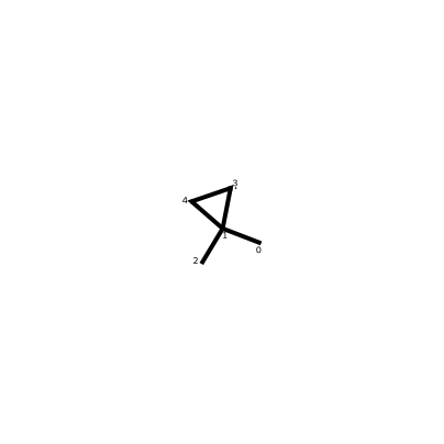 CC1(C)[CH]C1